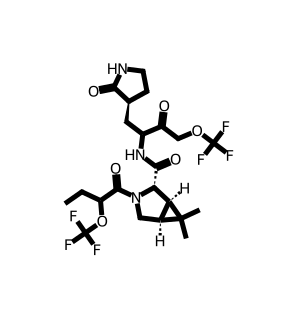 CCC(OC(F)(F)F)C(=O)N1C[C@H]2[C@@H]([C@H]1C(=O)NC(C[C@@H]1CCNC1=O)C(=O)COC(F)(F)F)C2(C)C